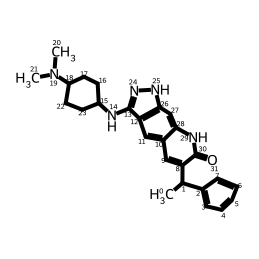 CC(c1ccccc1)c1cc2cc3c(NC4CCC(N(C)C)CC4)n[nH]c3cc2[nH]c1=O